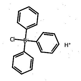 Cl[B-](c1ccccc1)(c1ccccc1)c1ccccc1.[H+]